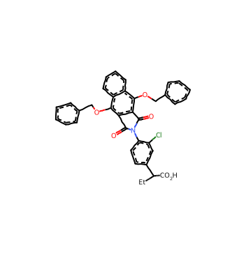 CCC(C(=O)O)c1ccc(N2C(=O)c3c(c(OCc4ccccc4)c4ccccc4c3OCc3ccccc3)C2=O)c(Cl)c1